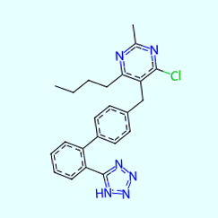 CCCCc1nc(C)nc(Cl)c1Cc1ccc(-c2ccccc2-c2nnn[nH]2)cc1